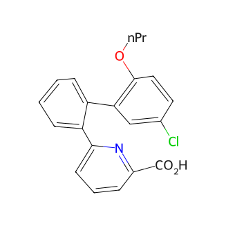 CCCOc1ccc(Cl)cc1-c1ccccc1-c1cccc(C(=O)O)n1